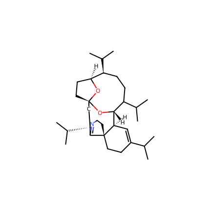 CC(C)C1=C[C@@H]2[C@@H]3O[C@]4(CC[C@H](O4)[C@@H](C(C)C)CCC3C(C)C)C[C@H](C(C)C)C3=NCC[C@@]32CC1